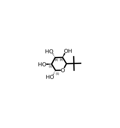 CC(C)(C)C1O[C@H](O)[C@@H](O)[C@H](O)[C@H]1O